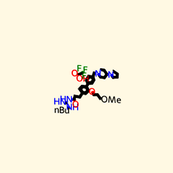 CCCCNC(=N)NC(=O)CCc1ccc(-c2ccc(CN3CCC(N4CCCC4)CC3)cc2)c(OCCCOC)c1.O=C(O)C(F)(F)F